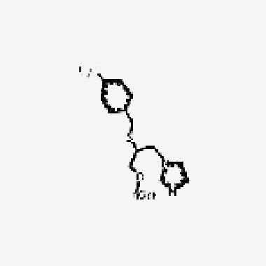 CCCCCCCCOCC(Cn1ccnc1)SCc1ccc(C(F)(F)F)cc1